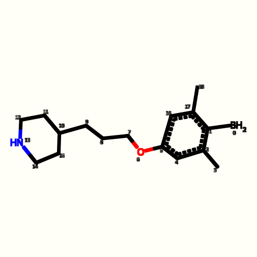 Bc1c(C)cc(OCCCC2CCNCC2)cc1C